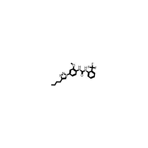 CCCCc1cn(-c2ccc(NC(=O)Nc3ccccc3C(F)(F)F)c(OC)c2)nn1